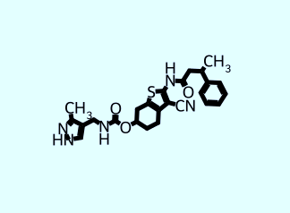 Cc1n[nH]cc1CNC(=O)OC1CCc2c(sc(NC(=O)CC(C)c3ccccc3)c2C#N)C1